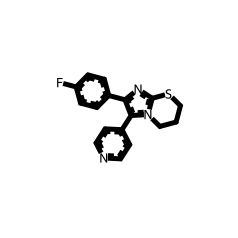 Fc1ccc(-c2nc3n(c2-c2ccncc2)CCCS3)cc1